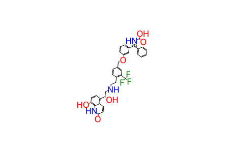 O=C(O)N[C@@H](c1ccccc1)c1cccc(OCc2ccc(CCNCC(O)c3ccc(O)c4[nH]c(=O)ccc34)c(C(F)(F)F)c2)c1